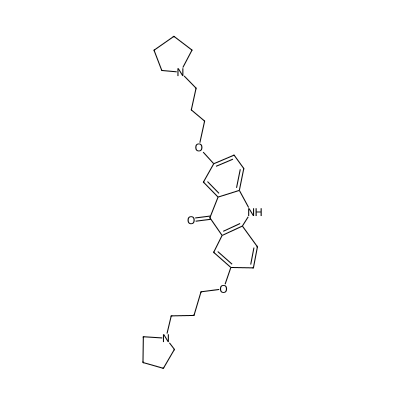 O=c1c2cc(OCCCN3CCCC3)ccc2[nH]c2ccc(OCCCN3CCCC3)cc12